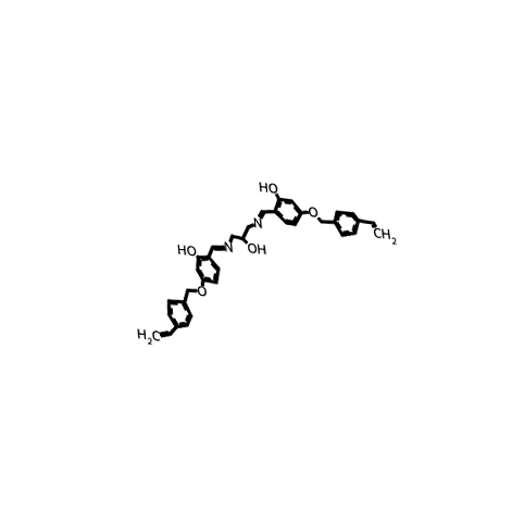 C=Cc1ccc(COc2ccc(/C=N/CC(O)C/N=C/c3ccc(OCc4ccc(C=C)cc4)cc3O)c(O)c2)cc1